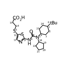 CC(C)(C)C1CCC(N(C(=O)Nc2ncc(SCCC(=O)O)s2)C2CCCC2)CC1